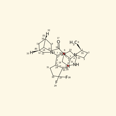 C[C@H]1CCN1c1nc(N2C[C@H]3C[C@@H](C2)C3CC(=O)N2CCNCC2)c2c(n1)C(F)(F)CC2